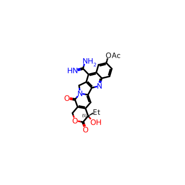 CC[C@@]1(O)C(=O)OCc2c1cc1n(c2=O)Cc2c-1nc1ccc(OC(C)=O)cc1c2C(=N)N